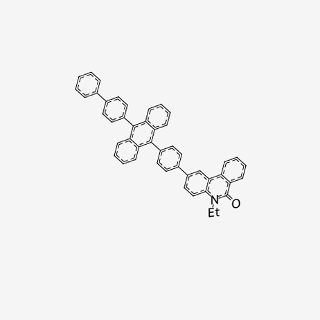 CCn1c(=O)c2ccccc2c2cc(-c3ccc(-c4c5ccccc5c(-c5ccc(-c6ccccc6)cc5)c5ccccc45)cc3)ccc21